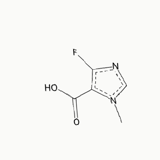 Cn1cnc(F)c1C(=O)O